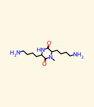 CN1C(=O)C(CCCCN)NC(=O)C1CCCCN